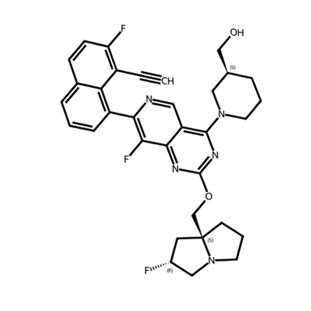 C#Cc1c(F)ccc2cccc(-c3ncc4c(N5CCC[C@H](CO)C5)nc(OC[C@@]56CCCN5C[C@H](F)C6)nc4c3F)c12